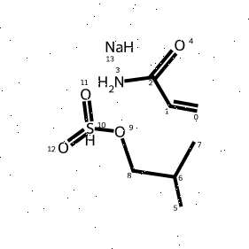 C=CC(N)=O.CC(C)CO[SH](=O)=O.[NaH]